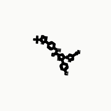 CC(C)(C)c1nc(-c2ccc(NC(=O)N3CC(n4cc(C#N)cn4)C(c4ccc(Cl)cc4)=N3)cc2)no1